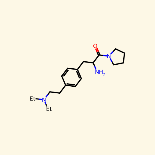 CCN(CC)CCc1ccc(CC(N)C(=O)N2CCCC2)cc1